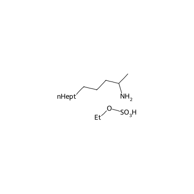 CCCCCCCCCCC(C)N.CCOS(=O)(=O)O